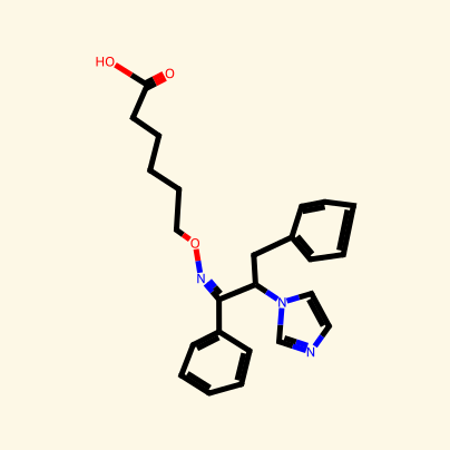 O=C(O)CCCCCON=C(c1ccccc1)C(Cc1ccccc1)n1ccnc1